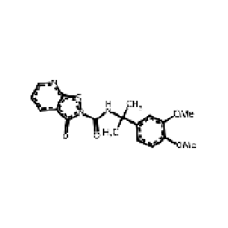 COc1ccc(C(C)(C)NC(=O)n2sc3ncccc3c2=O)cc1OC